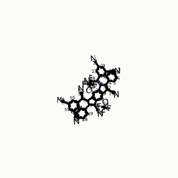 N#CC1=C(c2ccccc2)/C(=C(/C#N)c2cc(C#N)cc(C#N)c2)c2c(OC(F)(F)F)c3c(c(OC(F)(F)F)c21)C(C#N)=C(c1ccccc1)C3C(C#N)c1cc(C#N)cc(C#N)c1